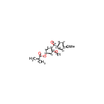 C=C(C)C(=O)Oc1ccc(C(=O)c2ccc(OC)cc2)c(OCC)c1